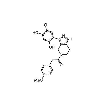 COc1ccc(CC(=O)N2CCc3[nH]nc(-c4cc(Cl)c(O)cc4O)c3C2)cc1